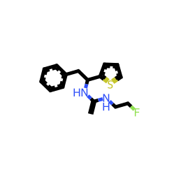 C=C(NCCF)NC(Cc1ccccc1)c1cccs1